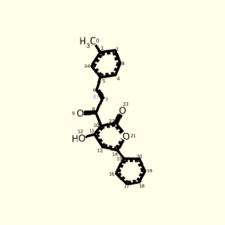 Cc1cccc(/C=C/C(=O)c2c(O)cc(-c3ccccc3)oc2=O)c1